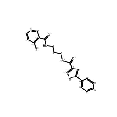 O=C(NCCCNC(=O)c1cnccc1O)c1cc(-c2ccccc2)on1